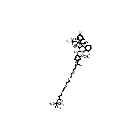 COc1cc(C(=O)NCCOCCOCCOCCOCCC(=O)OC(C)(C)C)ccc1NC(=O)[C@@H]1N[C@@H](CC(C)(C)C)[C@](C#N)(c2ccc(Cl)cc2F)[C@H]1c1cccc(Cl)c1F